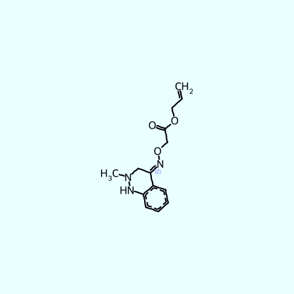 C=CCOC(=O)CO/N=C1\CN(C)Nc2ccccc21